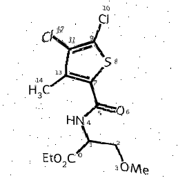 CCOC(=O)C(COC)NC(=O)c1sc(Cl)c(Cl)c1C